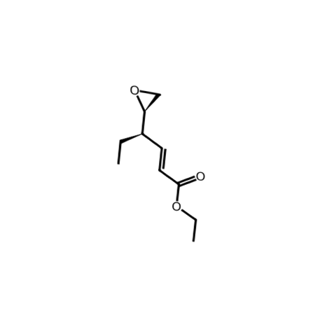 CCOC(=O)/C=C/[C@@H](CC)[C@@H]1CO1